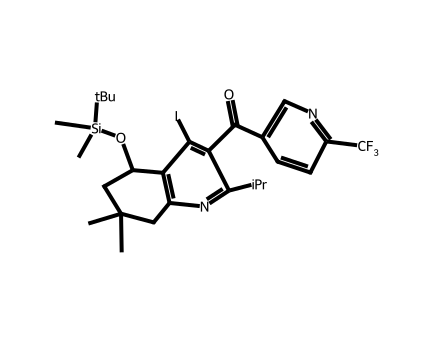 CC(C)c1nc2c(c(I)c1C(=O)c1ccc(C(F)(F)F)nc1)C(O[Si](C)(C)C(C)(C)C)CC(C)(C)C2